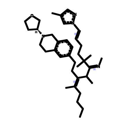 CCCC/C(C)=C(/CCc1ccc2c(c1)CCN([C@@H]1CCOC1)C2)C(C)/C(=N/C)C(C)(C)CC/C=C/n1cc(C)cn1